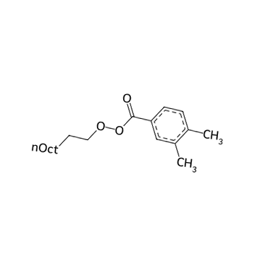 [CH2]CCCCCCCCCOOC(=O)c1ccc(C)c(C)c1